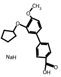 COc1ccc(-c2ccc(C(=O)O)cc2)cc1OC1CCCC1.[NaH]